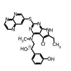 CCc1[nH]c2nc(Sc3cnc4nccnc4c3)nc(N(C)C[C@@H](O)c3cccc(O)c3)c2c1Cl